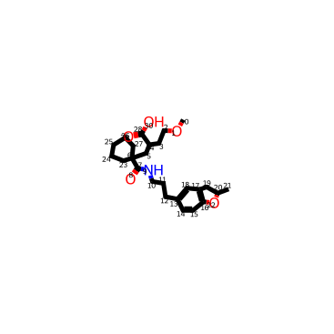 COCCC(CC1(C(=O)NCCCc2ccc3c(c2)CC(C)O3)CCCCC1)C(=O)O